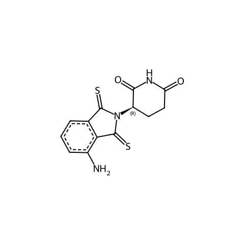 Nc1cccc2c1C(=S)N([C@@H]1CCC(=O)NC1=O)C2=S